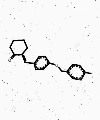 Cc1ccc(COc2ccc(C=C3CCCCC3=O)cc2)cc1